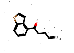 C=CCCC(=O)c1cccc2sccc12